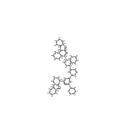 c1ccc(-c2nc(-c3cccc(-c4ccc(-c5nc6oc7ccccc7c6c6ccccc56)c5ccccc45)c3)cc(-c3cccc4c3oc3ccccc34)n2)cc1